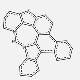 c1ccc2c(c1)c1ccc3sc4ccc[n+]5[nH]n6c7ccccc7c2c6c1c3c45